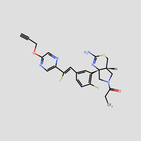 C#CCOc1cnc(/C(F)=C/c2ccc(F)c([C@]34CN(C(=O)CC(F)(F)F)C[C@H]3CSC(N)=N4)c2)cn1